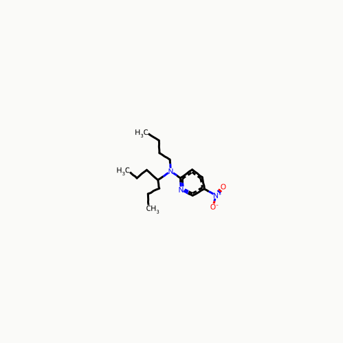 CCCCN(c1ccc([N+](=O)[O-])cn1)C(CCC)CCC